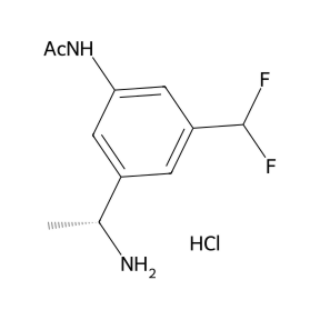 CC(=O)Nc1cc(C(F)F)cc([C@@H](C)N)c1.Cl